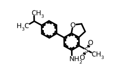 CC(C)c1ccc(-c2cc(N)c(S(C)(=O)=O)c3c2OCC3)cc1